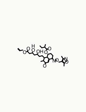 C=CCOC(=O)CC(O)CC(O)CCC1C(C)C(=O)C=C2C(=NOCc3c(C)noc3C)CCC(OC(=O)C(C)CC)C21